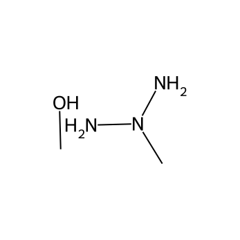 CN(N)N.CO